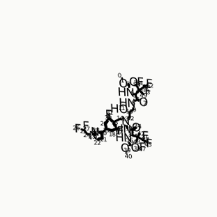 COC(=O)NC(C(=O)NC[C@@H](O)CN(Cc1c(F)cc(-c2ccn(CC(F)F)n2)cc1F)NC(=O)[C@@H](NC(=O)OC)C(C)(C)C(F)(F)F)C(C)(C)C(F)(F)F